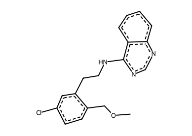 COCc1ccc(Cl)cc1CCNc1ncnc2ccccc12